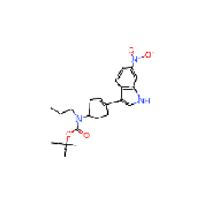 CCCN(C(=O)OC(C)(C)C)C1CC=C(c2c[nH]c3cc([N+](=O)[O-])ccc23)CC1